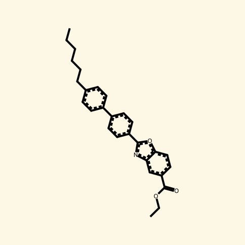 CCCCCCc1ccc(-c2ccc(-c3nc4cc(C(=O)OCC)ccc4o3)cc2)cc1